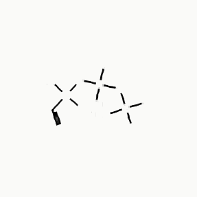 C=C[Si](C)(C)O[Si](C)(C)O[Si](C)(C)C